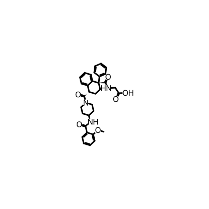 COc1ccccc1C(=O)NC1CCN(C(=O)[C@H]2CC[C@@](C(=O)NCC(=O)O)(c3ccccc3)c3ccccc32)CC1